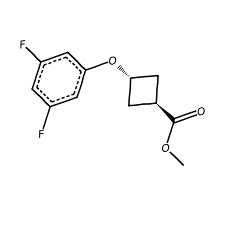 COC(=O)[C@H]1C[C@H](Oc2cc(F)cc(F)c2)C1